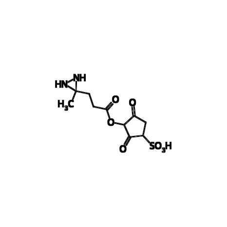 CC1(CCC(=O)OC2C(=O)CC(S(=O)(=O)O)C2=O)NN1